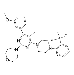 COc1cccc(-c2nc(N3CCOCC3)nc(N3CCN(c4ncccc4C(F)(F)F)CC3)c2C)c1